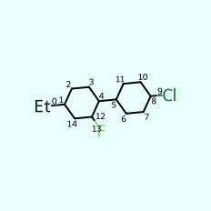 CCC1CCC(C2CCC(Cl)CC2)C(F)C1